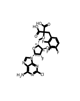 Nc1nc(Cl)nc2c1ncn2[C@@H]1O[C@H](COC(Cc2ccc(F)c(F)c2F)(C(=O)O)C(=O)O)[C@@H](O)[C@@H]1F